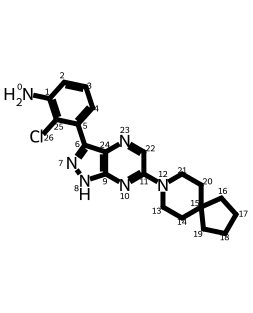 Nc1cccc(-c2n[nH]c3nc(N4CCC5(CCCC5)CC4)cnc23)c1Cl